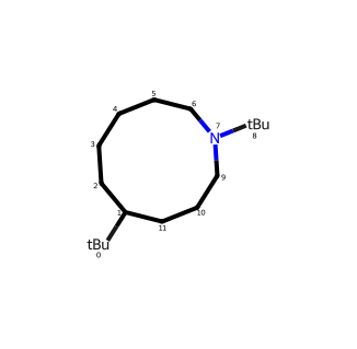 CC(C)(C)C1CCCCCN(C(C)(C)C)CCC1